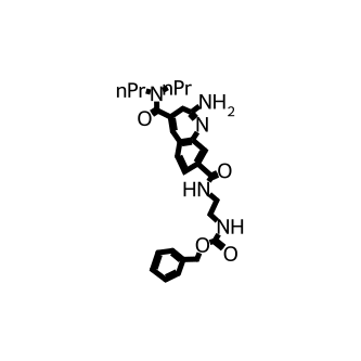 CCCN(CCC)C(=O)C1=Cc2ccc(C(=O)NCCNC(=O)OCc3ccccc3)cc2N=C(N)C1